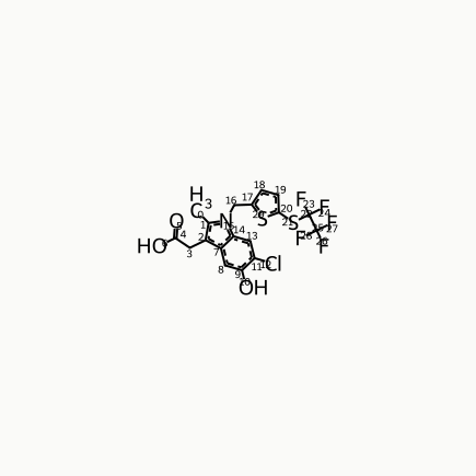 Cc1c(CC(=O)O)c2cc(O)c(Cl)cc2n1Cc1ccc(SC(F)(F)C(F)(F)F)s1